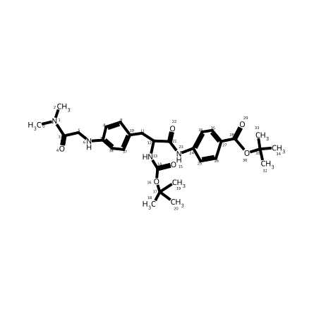 CN(C)C(=O)CNc1ccc(CC(NC(=O)OC(C)(C)C)C(=O)Nc2ccc(C(=O)OC(C)(C)C)cc2)cc1